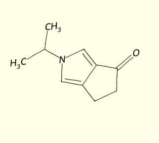 CC(C)n1cc2c(c1)C(=O)CC2